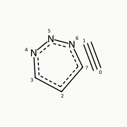 C#C.c1cnnnc1